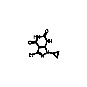 CCc1nn(C2CC2)c2[nH]c(=O)[nH]c(=O)c12